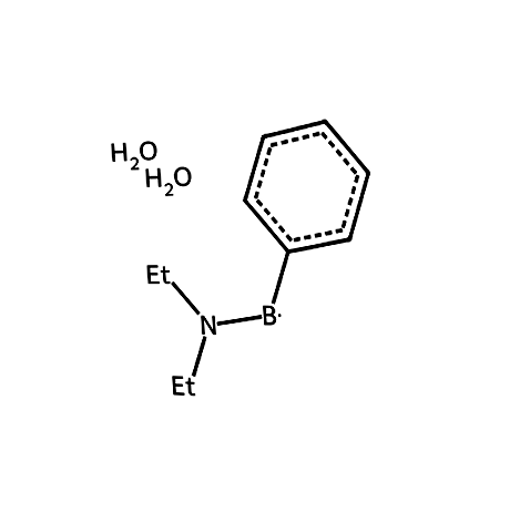 CCN([B]c1ccccc1)CC.O.O